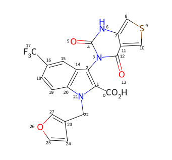 O=C(O)c1c(-n2c(=O)[nH]c3cscc3c2=O)c2cc(C(F)(F)F)ccc2n1Cc1ccoc1